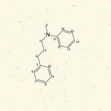 CN(C[CH]Cc1ccccc1)c1ccccc1